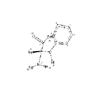 [2H]C(c1ccccc1)[C@@]([2H])(C(=O)O)N([2H])[2H]